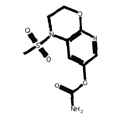 CS(=O)(=O)N1CCOc2ncc(OC(N)=O)cc21